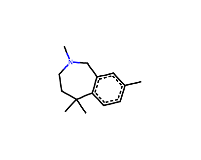 Cc1ccc2c(c1)CN(C)CCC2(C)C